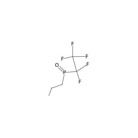 CCC[P](=O)C(F)(F)C(F)(F)F